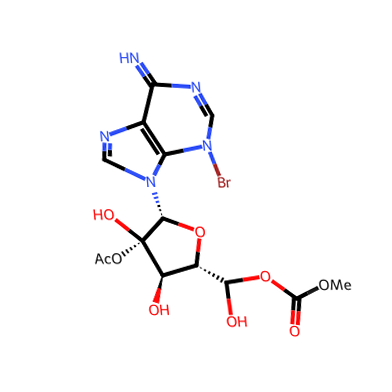 COC(=O)OC(O)[C@H]1O[C@@H](n2cnc3c(=N)ncn(Br)c32)[C@@](O)(OC(C)=O)[C@@H]1O